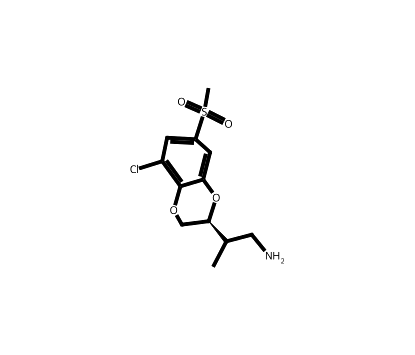 CC(CN)[C@H]1COc2c(Cl)cc(S(C)(=O)=O)cc2O1